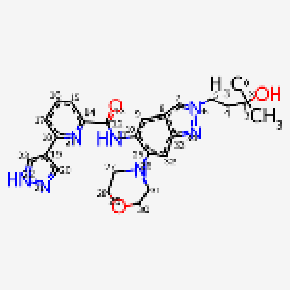 CC(C)(O)CCn1cc2cc(NC(=O)c3cccc(-c4cn[nH]c4)n3)c(N3CCOCC3)cc2n1